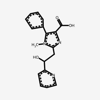 Cn1c(CC(O)c2ccccn2)nc(C(=O)O)c1-c1ccccc1